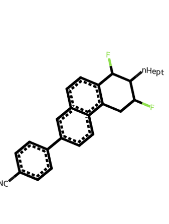 CCCCCCCC1C(F)Cc2c(ccc3cc(-c4ccc(C#N)cc4)ccc23)C1F